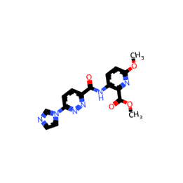 COC(=O)c1nc(OC)ccc1NC(=O)c1ccc(-n2ccnc2)nn1